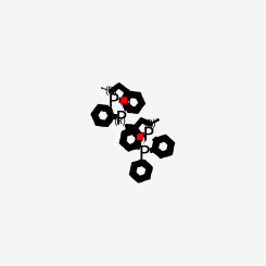 C[C@@H]1CC[C@@H](C)P1c1ccccc1[P@@](CC1C[C@@H](C)P(c2ccccc2P(c2ccccc2)c2ccccc2)[C@@H]1C)c1ccccc1